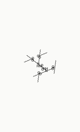 CCCCCCCCC(CCCCCC)C(=O)OCCCCCCN(CCCCCCOC(=O)C(CCCCCC)CCCCCCCC)CCNC(=O)C=CC(=O)NCCN(CCCCCCOC(=O)C(CCCCCC)CCCCCCCC)CCCCCCOC(=O)C(CCCCCC)CCCCCCCC